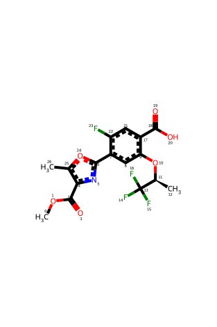 COC(=O)c1nc(-c2cc(O[C@@H](C)C(F)(F)F)c(C(=O)O)cc2F)oc1C